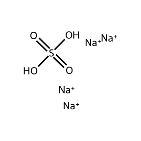 O=S(=O)(O)O.[Na+].[Na+].[Na+].[Na+]